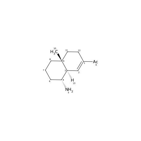 CC(=O)C1=C[C@H]2[C@H](N)CCC[C@]2(C)CC1